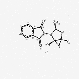 C[C@H]1C[C@@H]2C[C@@H]2[C@H]1N1C(=O)c2ccccc2C1=O